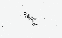 Cc1c(NC(=O)c2cc(OCc3cccc(C#N)c3)c(Br)cn2)cccc1-c1ccccc1